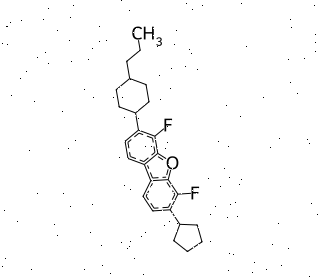 CCCC1CCC(c2ccc3c(oc4c(F)c(C5CCCC5)ccc43)c2F)CC1